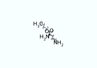 CCCCOC(=O)[C@H](N)CCCN